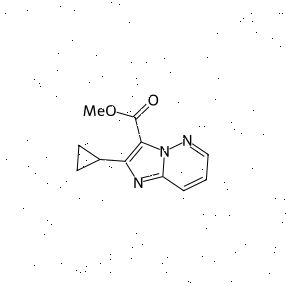 COC(=O)c1c(C2CC2)nc2cccnn12